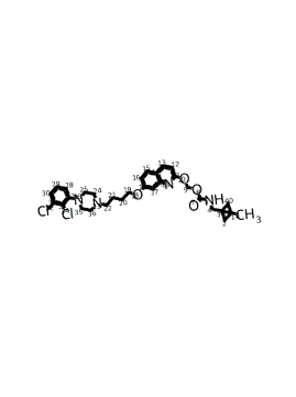 CC12CC1(CNC(=O)OCOc1ccc3ccc(OCCCCN4CCN(c5cccc(Cl)c5Cl)CC4)cc3n1)C2